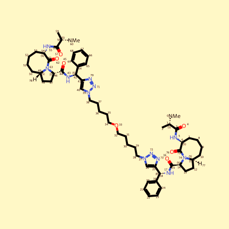 CN[C@@H](C)C(=O)N[C@H]1CCCC[C@H]2CC[C@@H](C(=O)N[C@H](c3ccccc3)c3cn(CCCCCOCCCCCn4cc([C@@H](NC(=O)[C@@H]5CC[C@@H]6CCCC[C@H](NC(=O)[C@H](C)NC)C(=O)N65)c5ccccc5)nn4)nn3)N2C1=O